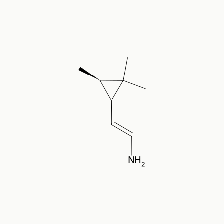 C[C@@H]1C(/C=C/N)C1(C)C